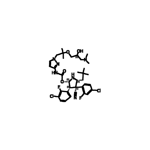 CN(C)C[C@H](O)COC(C)(C)Cn1ccc(NC(=O)O[C@@H]2N[C@H](CC(C)(C)C)[C@@](C#N)(c3ccc(Cl)cc3F)[C@@H]2c2cccc(Cl)c2F)n1